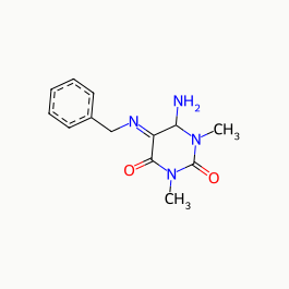 CN1C(=O)C(=NCc2ccccc2)C(N)N(C)C1=O